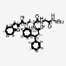 CC[C@H](C)NC(=O)CNC(=O)[C@@H](CNC(=O)c1cc2ccccc2s1)NC(=O)CC(c1ccccc1)c1ccccc1